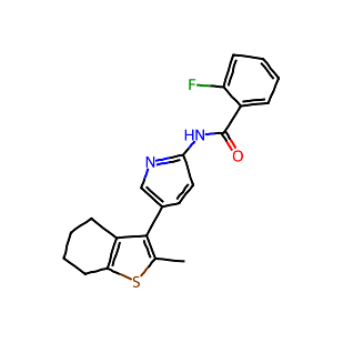 Cc1sc2c(c1-c1ccc(NC(=O)c3ccccc3F)nc1)CCCC2